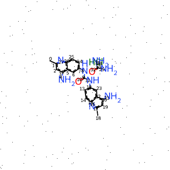 Cc1cc(N)c2cc(NC(=O)Nc3ccc4nc(C)cc(N)c4c3)ccc2n1.Cl.NC(N)=O